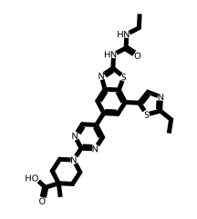 CCNC(=O)Nc1nc2cc(-c3cnc(N4CCC(C)(C(=O)O)CC4)nc3)cc(-c3cnc(CC)s3)c2s1